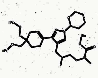 CCCOCC1(COCCC)CC=C(c2nn(C3CCCCO3)cc2CN(C)CCN(C)C(=O)OC(C)(C)C)CC1